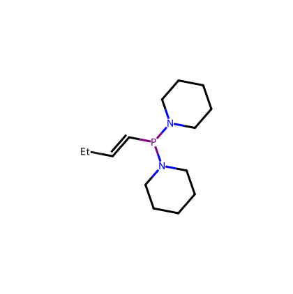 CCC=CP(N1CCCCC1)N1CCCCC1